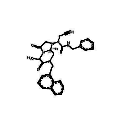 C#CCN(C(=O)NCc1ccccc1)N1CC(=O)N2C(C)C(=O)N(Cc3cccc4ccccc34)C[C@@H]21